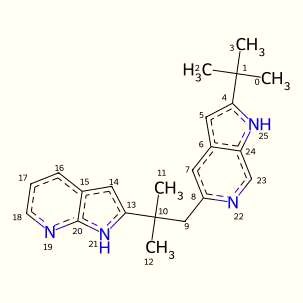 CC(C)(C)c1cc2cc(CC(C)(C)c3cc4cccnc4[nH]3)ncc2[nH]1